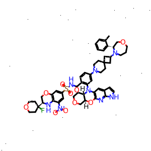 Cc1ccccc1[C@@H]1COCCCN1C1CC2(CCN(c3ccc(C(=O)NS(=O)(=O)c4cc5c(c([N+](=O)[O-])c4)N[C@@H](C4(F)CCOCC4)CO5)c(N4c5cc6cc[nH]c6nc5O[C@H]5COCC[C@@H]54)c3)CC2)C1